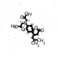 CC(C)Cc1cc(=O)oc2cc(N(CC(=O)O)CC(=O)O)ccc12